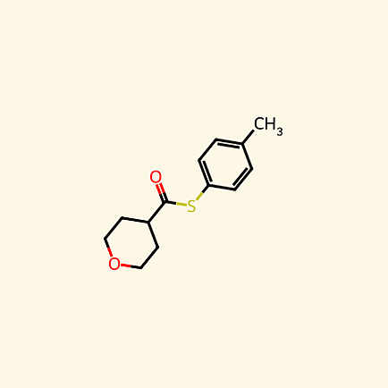 Cc1ccc(SC(=O)C2CCOCC2)cc1